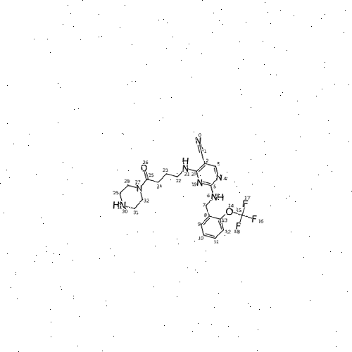 N#Cc1cnc(NCc2ccccc2OC(F)(F)F)nc1NCCCC(=O)N1CCNCC1